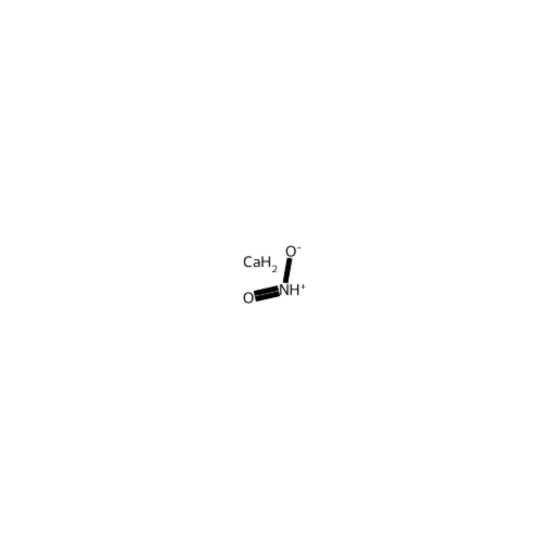 O=[NH+][O-].[CaH2]